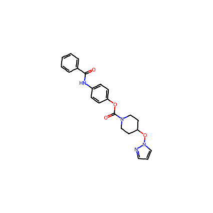 O=C(Nc1ccc(OC(=O)N2CCC(On3cccn3)CC2)cc1)c1ccccc1